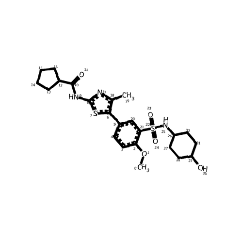 COc1ccc(-c2sc(NC(=O)C3CCCC3)nc2C)cc1S(=O)(=O)NC1CCC(O)CC1